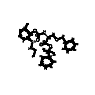 CCSSc1cccc(C)c1OC(=O)C[C@H](COCc1ccccc1)C(=O)OC(C)(C)c1ccccc1